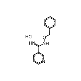 Cl.N=C(NOCc1ccccc1)c1cccnc1